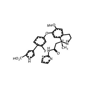 COc1cc2c(cc1Oc1ccc(-c3c[nH]c(C(=O)O)c3)c(F)c1)[C@@](C)(CC(=O)Nc1nccs1)NCC2